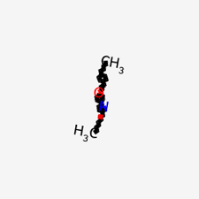 CCCCCCCCc1ccc(-c2ccc(OCC=CC3CCC(CCCCC)CC3)cc2)nc1